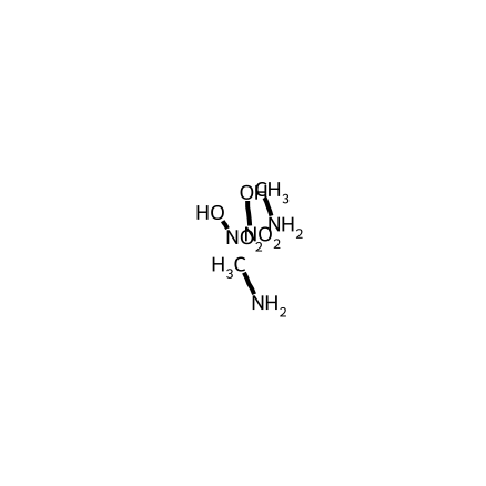 CN.CN.O=[N+]([O-])O.O=[N+]([O-])O